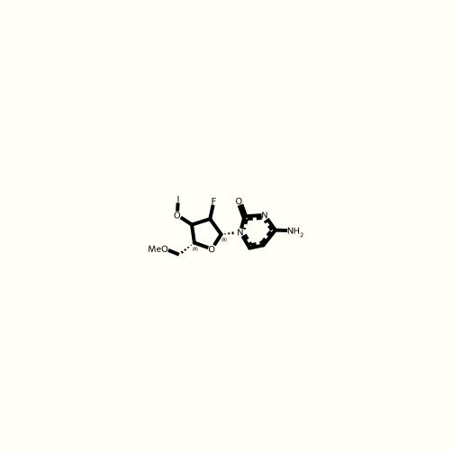 COC[C@H]1O[C@@H](n2ccc(N)nc2=O)C(F)C1OI